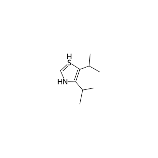 CC(C)C1=C(C(C)C)[SH]=CN1